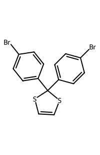 Brc1ccc(C2(c3ccc(Br)cc3)SC=CS2)cc1